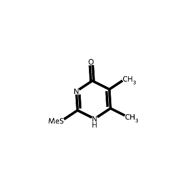 CSc1nc(=O)c(C)c(C)[nH]1